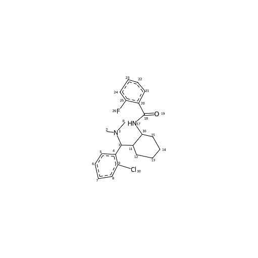 CN(C)C(c1ccccc1Cl)C1CCCCC1NC(=O)c1ccccc1F